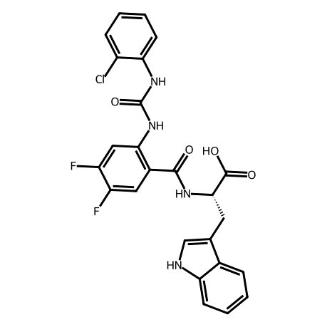 O=C(Nc1ccccc1Cl)Nc1cc(F)c(F)cc1C(=O)N[C@@H](Cc1c[nH]c2ccccc12)C(=O)O